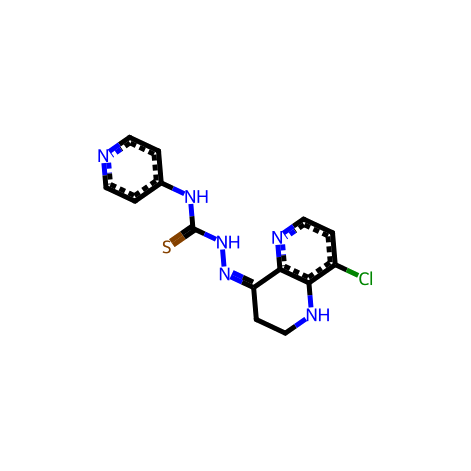 S=C(N/N=C1/CCNc2c(Cl)ccnc21)Nc1ccncc1